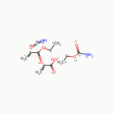 C=CC(=O)O.C=CC(=O)OCC.CCOC(N)=O.N=C=O